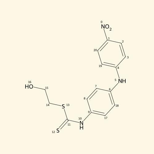 O=[N+]([O-])c1ccc(Nc2ccc(NC(=S)SCCO)cc2)cc1